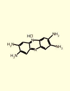 Cl.Nc1cc2nc3cc(N)c(N)cc3nc2cc1N